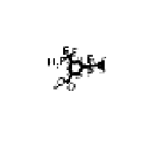 COC(=O)c1cc(C(F)(F)P)cc(C(F)(F)C2CC2)c1